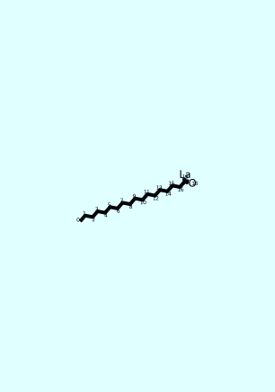 CCCCCCCCCCCCCCCCC[C](=O)[La]